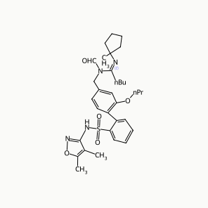 CCCC/C(=N/C1(C)CCCC1)N(C=O)Cc1ccc(-c2ccccc2S(=O)(=O)Nc2noc(C)c2C)c(OCCC)c1